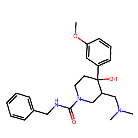 COc1cccc(C2(O)CCN(C(=O)NCc3ccccc3)CC2CN(C)C)c1